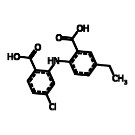 CCc1ccc(Nc2cc(Cl)ccc2C(=O)O)c(C(=O)O)c1